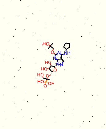 CC(C)(O)COc1nc(NC2CCCC2)c2cnn([C@@H]3O[C@H](COC(C)(CO)P(=O)(O)O)[C@@H](O)[C@H]3O)c2n1